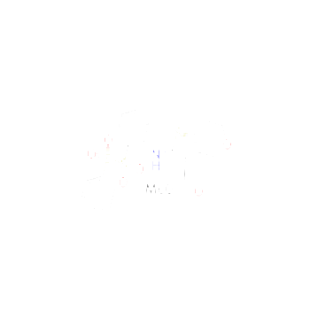 COC(=O)c1c(Nc2ccccc2S(=O)(=O)S(=O)(=O)c2ccccc2)sc2c1COCC2